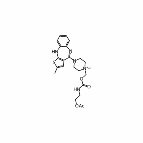 CC(=O)OCCNC(=O)OC[N+]1(C)CCN(C2=Nc3ccccc3Nc3sc(C)cc32)CC1